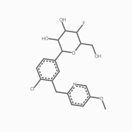 COc1ccc(Cc2cc(C3OC(CO)C(F)C(O)C3O)ccc2Cl)nc1